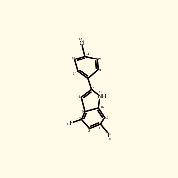 Fc1cc(F)c2cc(-c3ccc(Cl)cc3)[nH]c2c1